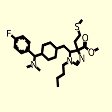 CCCCN1C=NC(CCSC)(C(=O)OC)C1CC1CCC(C(c2ccc(F)cc2)N(C)C)CC1